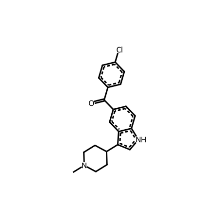 CN1CCC(c2c[nH]c3ccc(C(=O)c4ccc(Cl)cc4)cc23)CC1